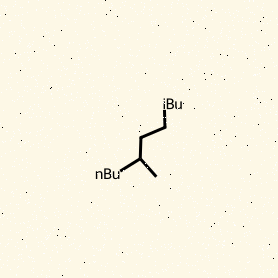 CCCCC(C)CCC(C)CC